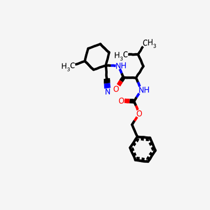 CC(C)CC(NC(=O)OCc1ccccc1)C(=O)NC1(C#N)CCCC(C)C1